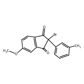 COc1ccc2c(c1)C(=O)C(Br)(c1cccc(C)c1)C2=O